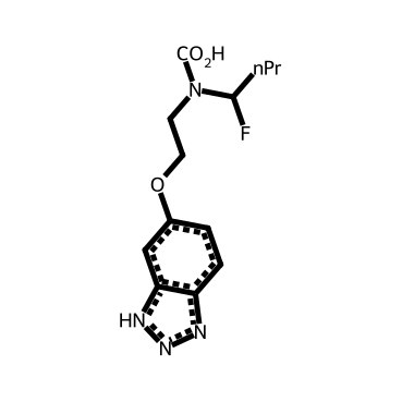 CCCC(F)N(CCOc1ccc2nn[nH]c2c1)C(=O)O